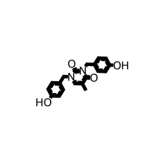 Cc1cn(Cc2ccc(O)cc2)c(=O)n(Cc2ccc(O)cc2)c1=O